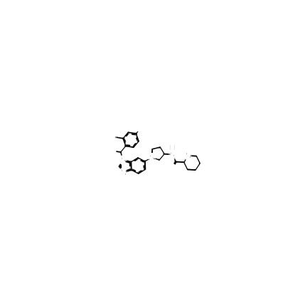 CC(c1ccc(Cl)cc1Cl)n1cnc2ccc(N3CCC(NC(=O)C4CCCCN4)C3)cc21